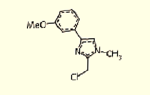 COc1cccc(-c2cn(C)c(CCl)n2)c1